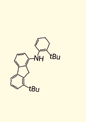 CC(C)(C)C1=C(Nc2cccc3c2Cc2c-3cccc2C(C)(C)C)C=CCC1